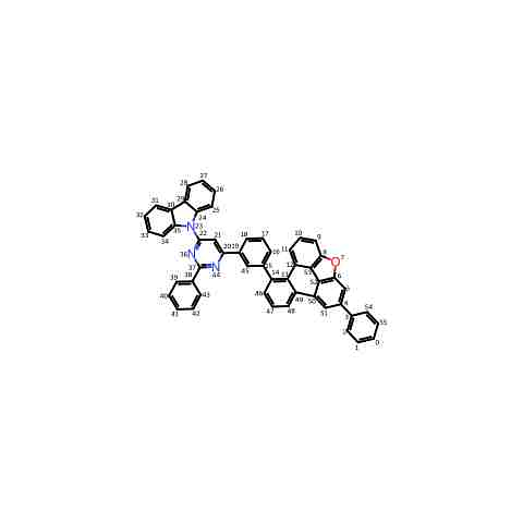 c1ccc(-c2cc3oc4cccc5c6c(-c7cccc(-c8cc(-n9c%10ccccc%10c%10ccccc%109)nc(-c9ccccc9)n8)c7)cccc6c(c2)c3c45)cc1